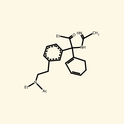 CCC(=O)C(NC(C)=N)(C1=CC=CCC1)c1cccc(CCN(CC)C(C)=O)c1